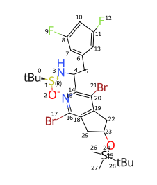 CC(C)(C)[S@+]([O-])NC(Cc1cc(F)cc(F)c1)c1nc(Br)c2c(c1Br)CC(O[Si](C)(C)C(C)(C)C)C2